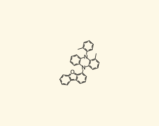 Cc1ccccc1N1c2ccccc2N(c2cccc3c2oc2ccccc23)c2cccc(C)c21